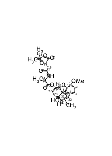 COc1ccc2c3c1O[C@H]1C(OC(=O)[C@H](C)NC(=O)C[C@@H]4OC(C)(C)OC4=O)=CC[C@@]4(O)[C@@H](C2)C(C)CC[C@]314